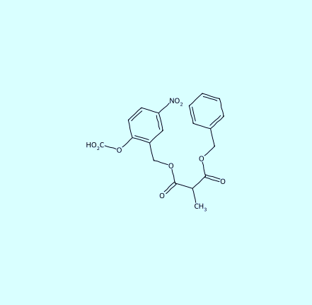 CC(C(=O)OCc1ccccc1)C(=O)OCc1cc([N+](=O)[O-])ccc1OC(=O)O